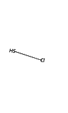 SCCCCCCCCCCCCCCCCCCCCCCCCCCCCl